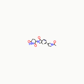 C=C(/C=C\C1=C(C)CN([C@H]2CCC(=O)NC2=O)C1=O)[C@H]1CCN(C(C)=O)C1